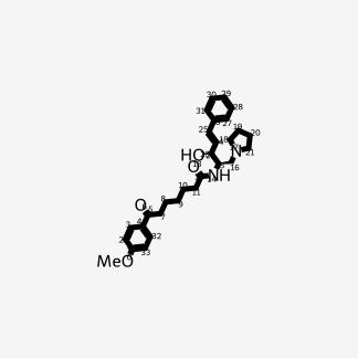 COc1ccc(C(=O)CCCCCC(=O)N[C@H](CN2CCCC2)[C@H](O)/C=C/c2ccccc2)cc1